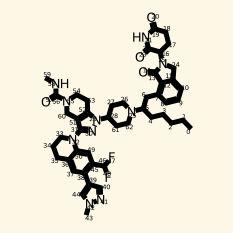 CCCCCC(Cc1cccc2c1C(=O)N(C1CCC(=O)NC1=O)C2)N1CCC(n2nc(N3CCCc4cc(-c5cnn(C)c5)c(C(F)F)cc43)c3c2CCN(C(=O)NC)C3)CC1